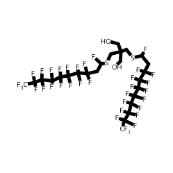 OCC(CO)(CSC(F)CC(F)(F)C(F)(F)C(F)(F)C(F)(F)C(F)(F)C(F)(F)C(F)(F)C(F)(F)F)CSC(F)CC(F)(F)C(F)(F)C(F)(F)C(F)(F)C(F)(F)C(F)(F)C(F)(F)C(F)(F)F